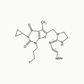 CN/C=C/N=C1\NCCN1Cc1sc2c(c1C)c(=O)n(C1CC1)c(=O)n2CCCF